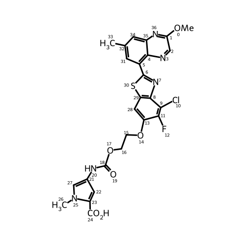 COc1cnc2c(-c3nc4c(Cl)c(F)c(OCCOC(=O)Nc5cc(C(=O)O)n(C)c5)cc4s3)cc(C)cc2n1